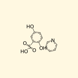 O=S(=O)(O)c1cc(O)ccc1O.c1ccncc1